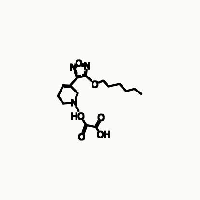 CCCCCCOc1nonc1C1=CCCN(C)C1.O=C(O)C(=O)O